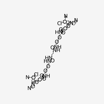 CN(C)[C@H]1CCCN([C@H]2Cc3c(C#N)cc(Cl)cc3[C@@H]2Oc2ccc(S(=O)(=O)NCCOCCOCCNC(=O)NCCCCNC(=O)NCCOCCOCCNS(=O)(=O)c3ccc(O[C@H]4c5cc(Cl)cc(C#N)c5C[C@@H]4N4CCC[C@H](N(C)C)C4)cc3)cc2)C1